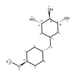 O[C@H]1[C@H](O)CN(C[C@H]2CC[C@H](OC(F)(F)F)CC2)C[C@@H]1O